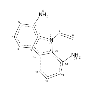 C=Cn1c2c(N)cccc2c2cccc(N)c21